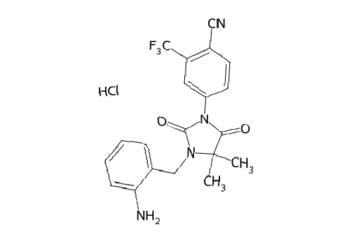 CC1(C)C(=O)N(c2ccc(C#N)c(C(F)(F)F)c2)C(=O)N1Cc1ccccc1N.Cl